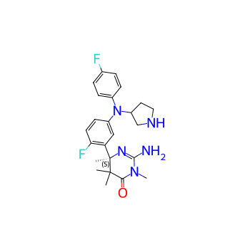 CN1C(=O)C(C)(C)[C@@](C)(c2cc(N(c3ccc(F)cc3)C3CCNC3)ccc2F)N=C1N